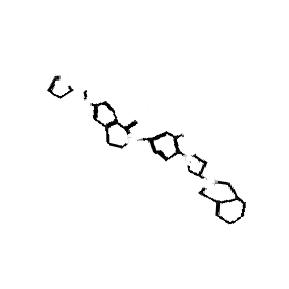 O=C1c2ccc(OC[C@@H]3CCCO3)cc2CCN1c1ccc(N2CCC(N3CC4CCCCC4C3)C2)c(F)c1